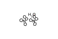 O.c1ccc(N(c2ccccc2)c2cccc3ccccc23)cc1.c1ccc(N(c2ccccc2)c2cccc3ccccc23)cc1